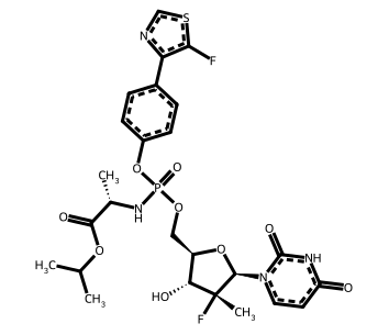 CC(C)OC(=O)[C@H](C)NP(=O)(OC[C@H]1O[C@@H](n2ccc(=O)[nH]c2=O)[C@](C)(F)[C@@H]1O)Oc1ccc(-c2ncsc2F)cc1